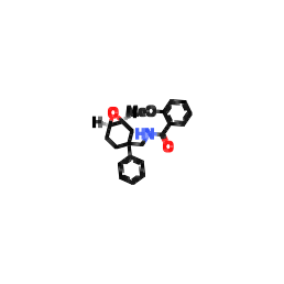 COc1ccccc1C(=O)NCC1(c2ccccc2)CC[C@H]2O[C@H]2C1